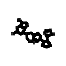 CCOC(=O)CN(Cc1ccc(-c2ccccc2-c2nnn[nH]2)cc1)c1cc(CC)nc2c(Cl)cnn12